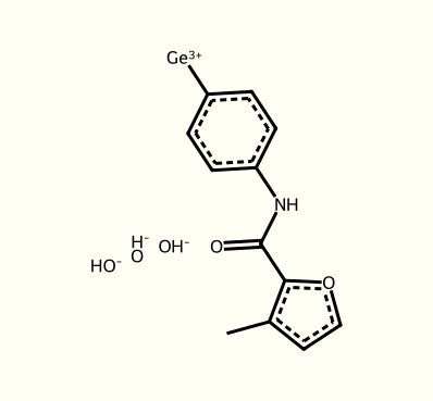 Cc1ccoc1C(=O)Nc1cc[c]([Ge+3])cc1.[OH-].[OH-].[OH-]